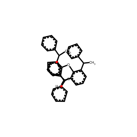 CC(c1ccccc1)c1cccc(C(C)c2ccccc2)c1Oc1c(C(C)c2ccccc2)cccc1C(C)c1ccccc1